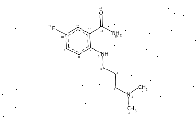 CN(C)CCCNc1ccc(F)cc1C(N)=O